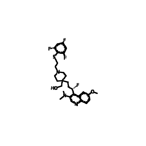 COc1ccc2ncc(N(C)C)c([C@@H](F)CCC3(CO)CCN(CCSc4c(F)cc(F)cc4F)CC3)c2c1